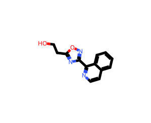 OCCc1nc(-c2nccc3ccccc23)no1